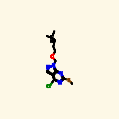 CSc1nc(Cl)c2cnn(COCCC[SiH](C)C)c2n1